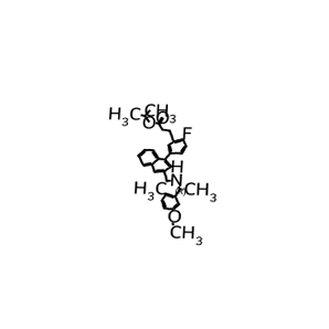 CCOc1cccc([C@@H](C)NC(C)c2cc(-c3ccc(F)c(CCC(=O)OC(C)C)c3)c3ccccc3c2)c1